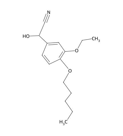 CCCCCOc1ccc(C(O)C#N)cc1OCC